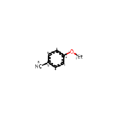 CCOc1ccc(C#N)cc1